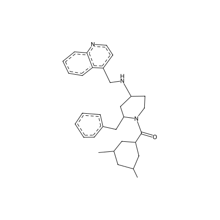 CC1CC(C)CC(C(=O)N2CCC(NCc3ccnc4ccccc34)CC2Cc2ccccc2)C1